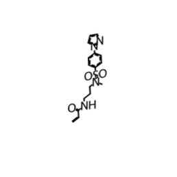 C=CC(=O)NCCCN(C)S(=O)(=O)c1ccc(-n2cccn2)cc1